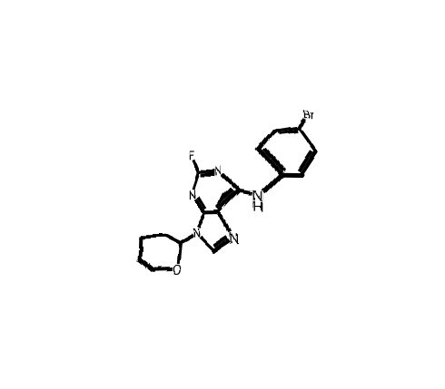 Fc1nc(Nc2ccc(Br)cc2)c2ncn(C3CCCCO3)c2n1